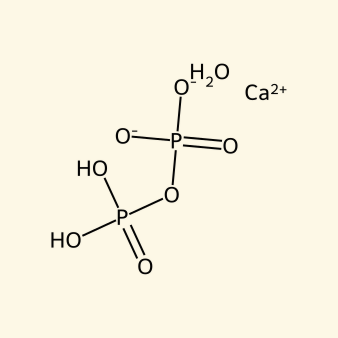 O.O=P([O-])([O-])OP(=O)(O)O.[Ca+2]